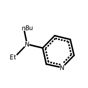 CCCCN(CC)c1cccnc1